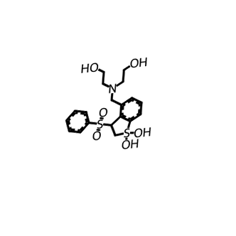 O=S(=O)(c1ccccc1)C1CS(O)(O)c2cccc(CN(CCO)CCO)c21